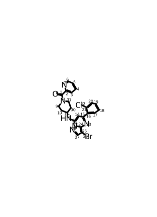 O=C(c1ccccn1)N1CCC(Nc2cc(-c3ccccc3Cl)nc3c(Br)cnn23)CC1